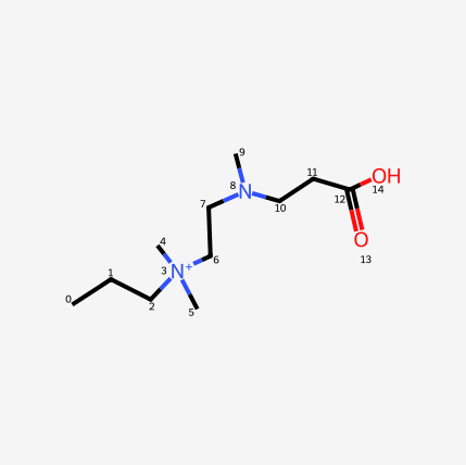 CCC[N+](C)(C)CCN(C)CCC(=O)O